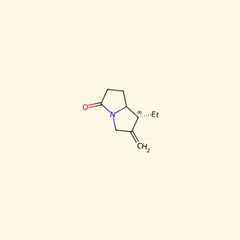 C=C1CN2C(=O)CCC2[C@@H]1CC